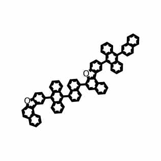 c1ccc2cc(-c3c4ccccc4c(-c4ccc5oc6c(-c7cccc8c(-c9c%10ccccc%10c(-c%10ccc%11oc%12ccc%13ccccc%13c%12c%11c%10)c%10ccccc9%10)cccc78)cc7ccccc7c6c5c4)c4ccccc34)ccc2c1